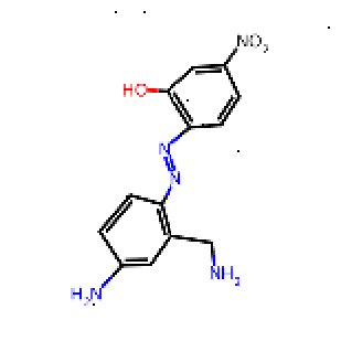 NCc1cc(N)ccc1N=Nc1ccc([N+](=O)[O-])cc1O